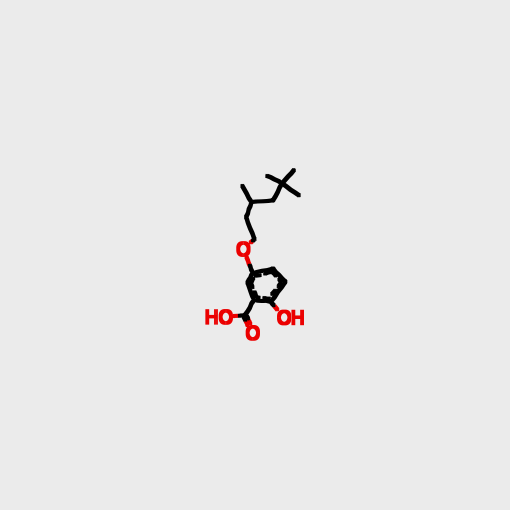 CC(CCOc1ccc(O)c(C(=O)O)c1)CC(C)(C)C